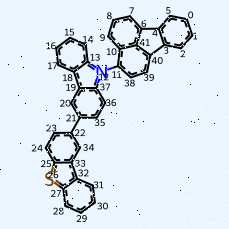 c1ccc2c(c1)-c1cccc3c(-n4c5ccccc5c5cc(-c6ccc7sc8ccccc8c7c6)ccc54)ccc-2c13